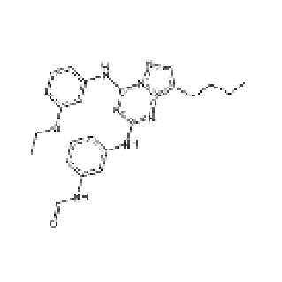 CCCCc1cnn2c(Nc3cccc(OCC)c3)nc(Nc3cccc(NC=O)c3)nc12